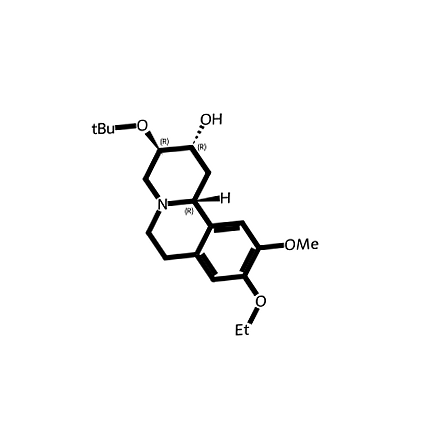 CCOc1cc2c(cc1OC)[C@H]1C[C@@H](O)[C@H](OC(C)(C)C)CN1CC2